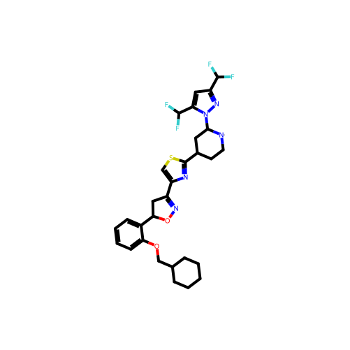 FC(F)c1cc(C(F)F)n(C2CC(c3nc(C4=NOC(c5ccccc5OCC5CCCCC5)C4)cs3)CC[N]2)n1